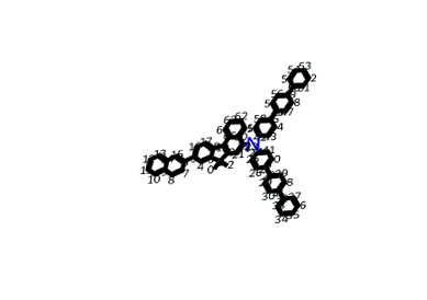 CC1(C)c2cc(-c3ccc4ccccc4c3)ccc2-c2c1cc(N(c1ccc(-c3ccc(-c4ccccc4)cc3)cc1)c1ccc(-c3ccc(-c4ccccc4)cc3)cc1)c1ccccc21